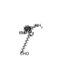 CC(C)(C)OC(=O)[N+](CC1CCCCN1CCCCCCCCCCCCCC=O)(C(=O)OC(C)(C)C)C(=O)C(N)CCCCN